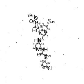 CC(C)(C)OC(=O)N1CC(O)(c2cc(C3CC3)cn3cc(CNc4ccnc(NC(=O)[C@H]5C[C@@H]5c5cccc(Cl)c5)c4)nc23)C1